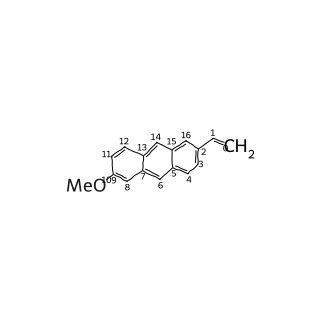 C=Cc1ccc2cc3cc(OC)ccc3cc2c1